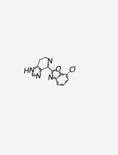 Clc1cccc2nc(C3=NCCc4[nH]cnc43)oc12